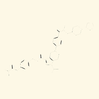 CC(C)n1nc(C(=O)NCc2ccc(NC(=O)N(C)C)cc2)c2c1[C@@H](C)CN(c1ccc(C(=O)N(C)CC3CCN([C@@H]4CCOC4)CC3)cc1)C2